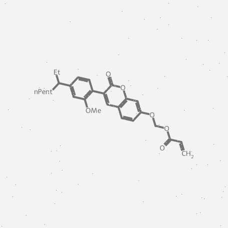 C=CC(=O)OCOc1ccc2cc(-c3ccc(C(CC)CCCCC)cc3OC)c(=O)oc2c1